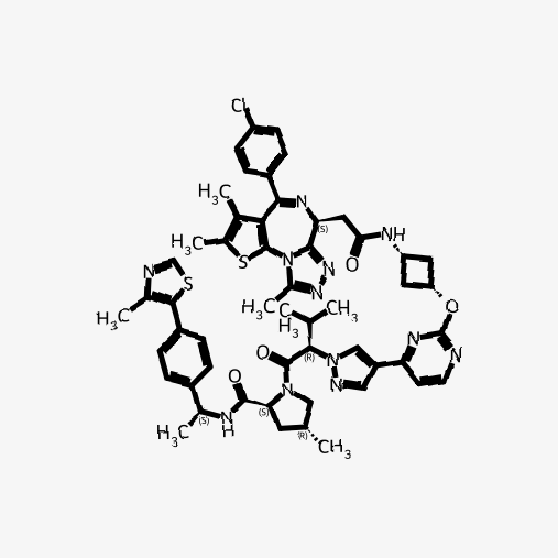 Cc1ncsc1-c1ccc([C@H](C)NC(=O)[C@@H]2C[C@@H](C)CN2C(=O)[C@@H](C(C)C)n2cc(-c3ccnc(O[C@H]4C[C@@H](NC(=O)C[C@@H]5N=C(c6ccc(Cl)cc6)c6c(sc(C)c6C)-n6c(C)nnc65)C4)n3)cn2)cc1